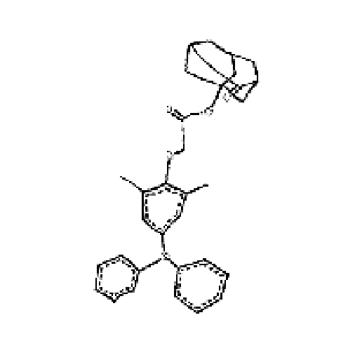 Cc1cc([S+](c2ccccc2)c2ccccc2)cc(C)c1OCC(=O)OC12CC3CC(C1)C(=O)C(C3)C2